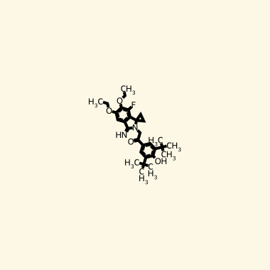 CCOc1cc2c(c(F)c1OCC)C1(CC1)N(CC(=O)c1cc(C(C)(C)C)c(O)c(C(C)(C)C)c1)C2=N